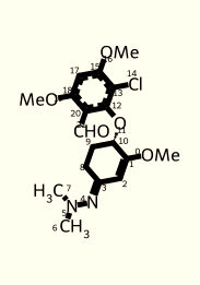 COC1=C/C(=N/N(C)C)CC[C@@H]1Oc1c(Cl)c(OC)cc(OC)c1C=O